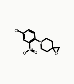 O=[N+]([O-])c1cc(Cl)ccc1N1CCC2(CC1)CO2